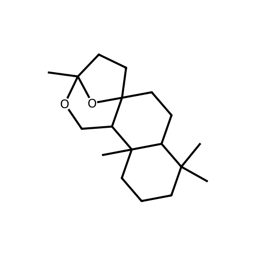 CC12CCC3(CCC4C(C)(C)CCCC4(C)C3CO1)O2